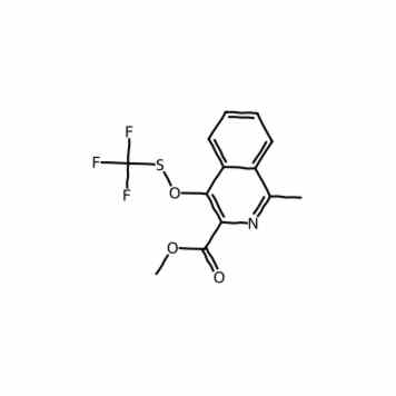 COC(=O)c1nc(C)c2ccccc2c1OSC(F)(F)F